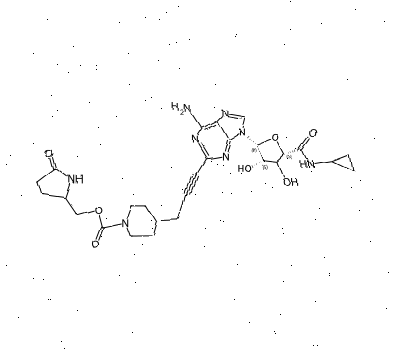 Nc1nc(C#CCC2CCN(C(=O)OCC3CCC(=O)N3)CC2)nc2c1ncn2[C@@H]1O[C@H](C(=O)NC2CC2)C(O)[C@@H]1O